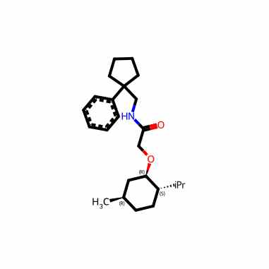 CC(C)[C@@H]1CC[C@@H](C)C[C@H]1OCC(=O)NCC1(c2ccccc2)CCCC1